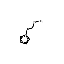 COCSn1cccc1